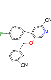 N#Cc1cccc(COc2cnc(C#N)cc2-c2ccc(F)cc2)c1